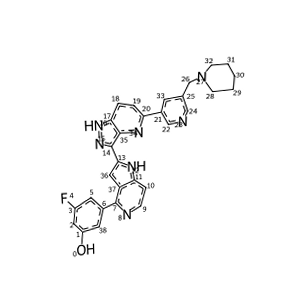 Oc1cc(F)cc(-c2nccc3[nH]c(-c4n[nH]c5ccc(-c6cncc(CN7CCCCC7)c6)nc45)cc23)c1